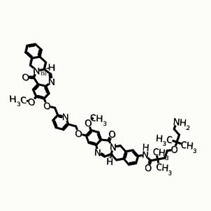 COc1cc2c(cc1OCc1cccc(COc3cc4c(cc3OC)C(=O)N3Cc5cc(NC(=O)C(C)(C)CCOC(C)(C)CCN)ccc5C[C@H]3C=N4)n1)N=C[C@@H]1Cc3ccccc3CN1C2=O